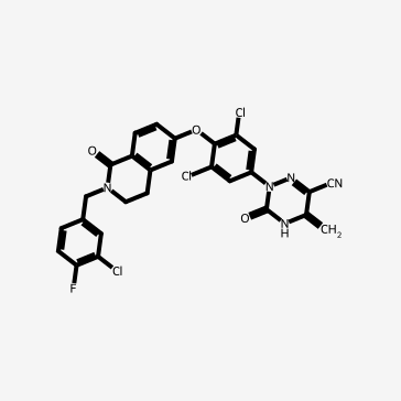 C=C1NC(=O)N(c2cc(Cl)c(Oc3ccc4c(c3)CCN(Cc3ccc(F)c(Cl)c3)C4=O)c(Cl)c2)N=C1C#N